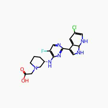 O=C(O)CN1CCC[C@H](Nc2nc(C3=CNC4NC=C(Cl)C=C34)ncc2F)C1